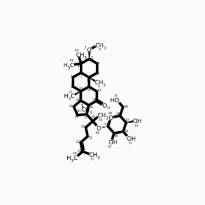 CO[C@H]1CC[C@@]2(C)C(CC[C@]3(C)C2CC(=O)C2C(C(C)(CCC=C(C)C)O[C@@H]4OC(CO)[C@@H](O)C(O)C4O)CC[C@]23C)C1(C)C